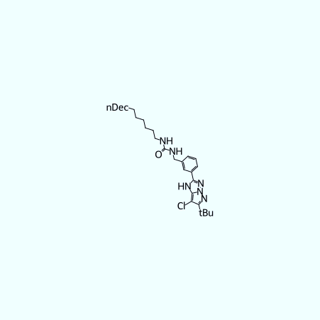 CCCCCCCCCCCCCCCCNC(=O)NCc1cccc(-c2nn3nc(C(C)(C)C)c(Cl)c3[nH]2)c1